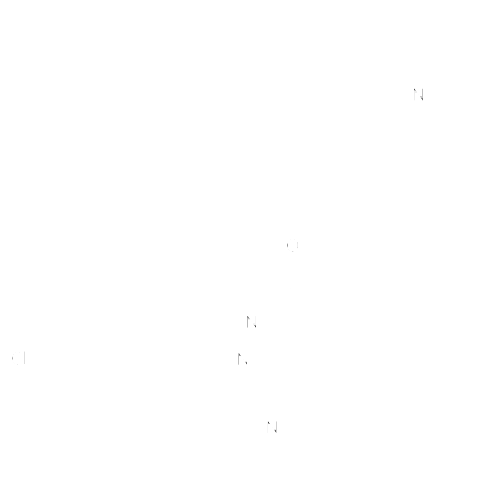 CN(C)CCCCOc1ccc2ncc(-c3ccc(Cl)cc3)n2n1